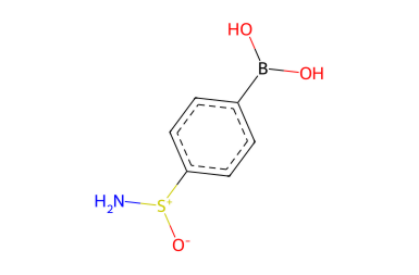 N[S+]([O-])c1ccc(B(O)O)cc1